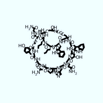 CCCC[C@H]1C(=O)N(C)[C@@H](CCCC)C(=O)N[C@H]2CCC(=O)NCCCC[C@H](NC(=O)[C@H](Cc3c[nH]c4ccccc34)NC(=O)[C@@H]3C[C@@H](O)CN3C(=O)[C@H](CCC(N)=O)NC(=O)[C@H](Cc3cnc[nH]3)NC(=O)[C@@H]3CCCN3C(=O)[C@H](CC(N)=O)NC(=O)[C@@H](C)NC(=O)[C@H](Cc3ccc(O)cc3)NC(=O)CSC[C@@H](C(=O)NCC(N)=O)NC2=O)C(=O)N[C@@H](Cc2c[nH]c3ccccc23)C(=O)N1C